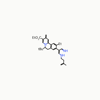 C=C(C)CCN/C=C(\C=N)c1cc2c(cc1CC)C1=CC(=C)C(C(=O)OCC)=CN1C(C(C)(C)C)C2